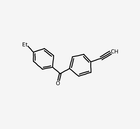 C#Cc1ccc(C(=O)c2ccc(CC)cc2)cc1